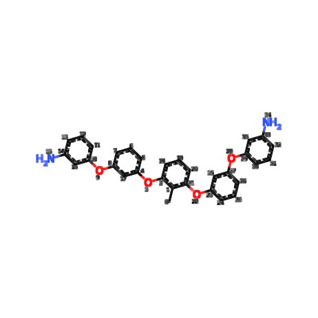 Cc1c(Oc2cccc(Oc3cccc(N)c3)c2)cccc1Oc1cccc(Oc2cccc(N)c2)c1